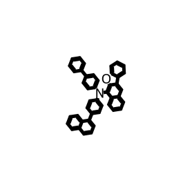 c1ccc(-c2ccc(N(c3ccc(-c4cccc5ccccc45)cc3)c3c4ccccc4cc4c3oc3ccccc34)cc2)cc1